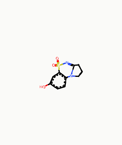 O=S1(=O)N=C2CCCN2c2ccc(O)cc21